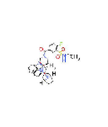 CCNS(=O)(=O)c1cc(C(=O)N2CCC(CCN3[C@@H]4CC[C@H]3C[C@@H](n3c(C)nc5ccccc53)C4)(c3ccccc3)CC2)ccc1F